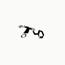 CCCCC(=O)NCc1ccccn1